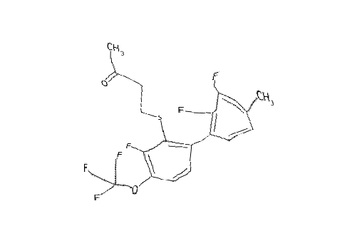 CC(=O)CCSc1c(-c2ccc(C)c(F)c2F)ccc(OC(F)(F)F)c1F